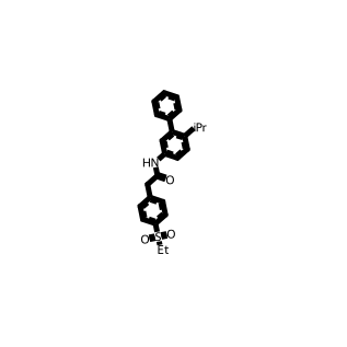 CCS(=O)(=O)c1ccc(CC(=O)Nc2ccc(C(C)C)c(-c3ccccc3)c2)cc1